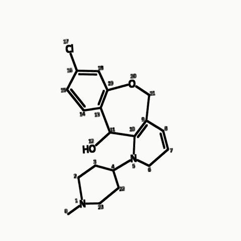 CN1CCC(N2CC=CC3=C2C(O)c2ccc(Cl)cc2OC3)CC1